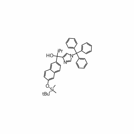 CC(C)C(O)(c1ccc2cc(O[Si](C)(C)C(C)(C)C)ccc2c1)c1cn(C(c2ccccc2)(c2ccccc2)c2ccccc2)cn1